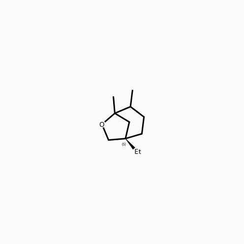 CC[C@]12CCC(C)C(C)(C1)OC2